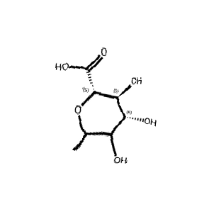 CC1O[C@H](C(=O)O)[C@@H](O)[C@H](O)C1O